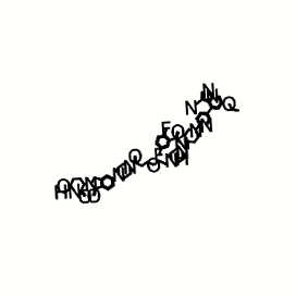 CCOc1cc(-c2ccc(N3CCC(CN4CCN(CCOCCC(=O)N5CCN(c6ccc7c(c6)CN(C6CCC(=O)NC6=O)C7=O)CC5)CC4)(NC(=O)c4cc(F)ccc4F)CC3)nc2)c2c(C#N)cnn2c1